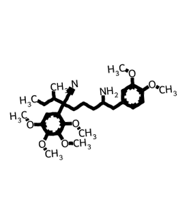 CCC(C)C(C#N)(CCCC(N)Cc1ccc(OC)c(OC)c1)c1cc(OC)c(OC)c(OC)c1OC